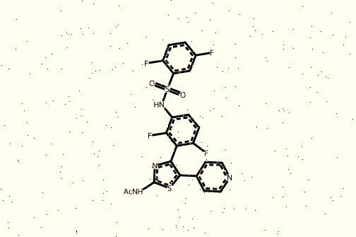 CC(=O)Nc1nc(-c2c(F)ccc(NS(=O)(=O)c3cc(F)ccc3F)c2F)c(-c2ccncc2)s1